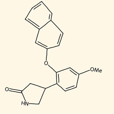 COc1ccc(C2CNC(=O)C2)c(Oc2ccc3ccccc3c2)c1